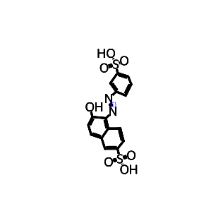 O=S(=O)(O)c1cccc(/N=N/c2c(O)ccc3cc(S(=O)(=O)O)ccc23)c1